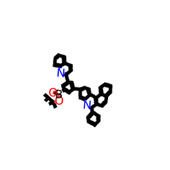 CC1(C)OB(c2cc(-c3ccc4c(c3)nc(-c3ccccc3)c3ccc5ccccc5c34)cc(-c3ccc4ccccc4n3)c2)OC1(C)C